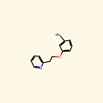 CC(C)(C)c1cccc(OCCc2ccccn2)c1